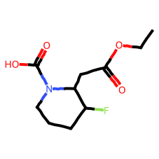 CCOC(=O)CC1C(F)CCCN1C(=O)O